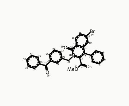 COC(=O)c1c(-c2ccccc2)c2cc(Br)ccc2c(=O)n1Cc1cccc(C(=O)c2ccccc2)c1